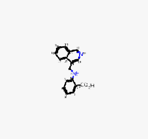 O=C(O)c1ccccc1NCc1cncc2ccccc12